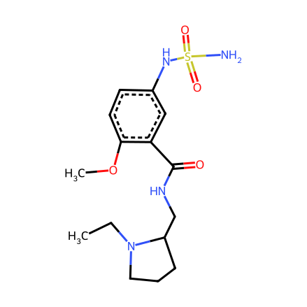 CCN1CCCC1CNC(=O)c1cc(NS(N)(=O)=O)ccc1OC